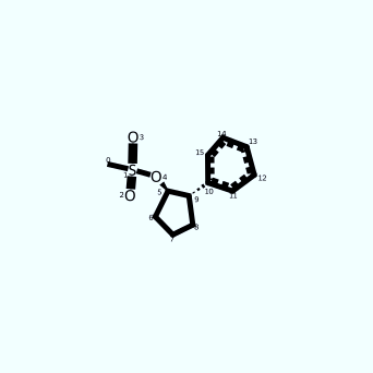 CS(=O)(=O)O[C@@H]1CCC[C@H]1c1ccccc1